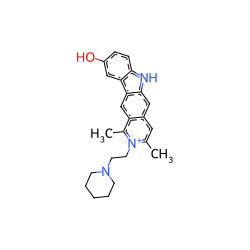 Cc1cc2cc3[nH]c4ccc(O)cc4c3cc2c(C)[n+]1CCN1CCCCC1